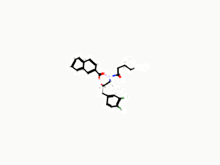 C[C@H](CC(=O)O)CC(=O)N[C@@H](C)[C@@H](Cc1ccc(Cl)c(Cl)c1)OC(=O)c1ccc2ccccc2c1